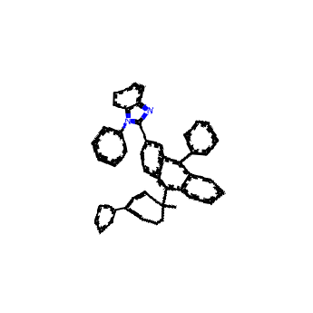 CC1(c2c3ccccc3c(-c3ccccc3)c3cc(-c4nc5ccccc5n4-c4ccccc4)ccc23)C=CC(c2ccccc2)=CC1